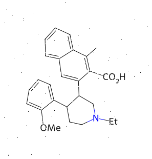 CCN1CCC(c2ccccc2OC)C(c2cc3ccccc3c(C)c2C(=O)O)C1